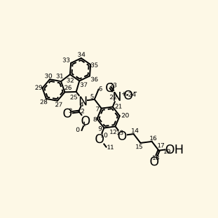 COC(=O)N(C(C)c1cc(OC)c(OCCCC(=O)O)cc1[N+](=O)[O-])C1c2ccccc2-c2ccccc21